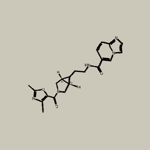 Cc1nc(C)c(C(=O)N2C[C@@H]3C(CCNC(=O)c4ccc5nccn5c4)[C@@H]3C2)o1